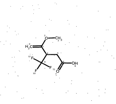 C=C(OC)C(CC(=O)O)C(F)(F)F